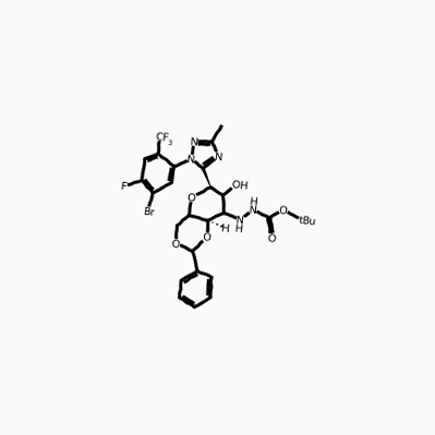 Cc1nc([C@@H]2OC3COC(c4ccccc4)O[C@@H]3C(NNC(=O)OC(C)(C)C)C2O)n(-c2cc(Br)c(F)cc2C(F)(F)F)n1